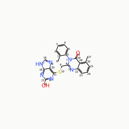 Cc1ccccc1-n1c(CSc2nc(O)nc3[nH]cnc23)nc2cccc(C)c2c1=O